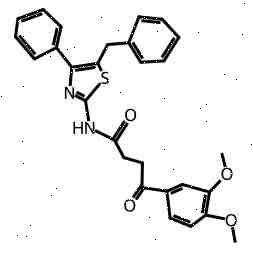 COc1ccc(C(=O)CCC(=O)Nc2nc(-c3ccccc3)c(Cc3ccccc3)s2)cc1OC